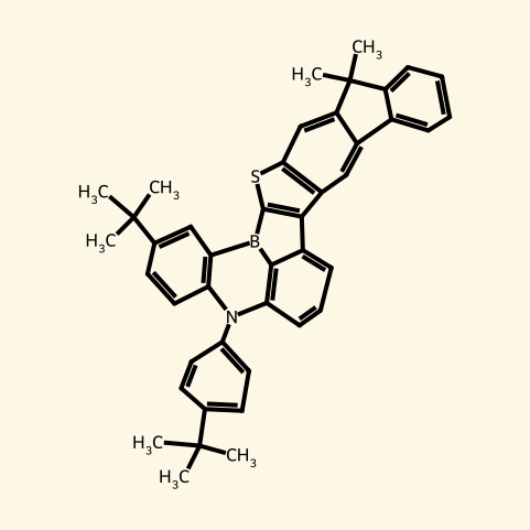 CC(C)(C)c1ccc(N2c3ccc(C(C)(C)C)cc3B3c4sc5cc6c(cc5c4-c4cccc2c43)-c2ccccc2C6(C)C)cc1